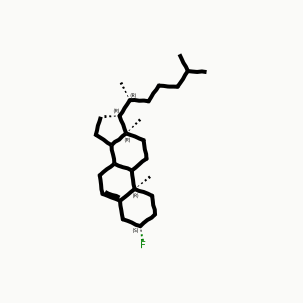 CC(C)CCC[C@@H](C)[C@H]1CCC2C3CC=C4C[C@@H](F)CC[C@]4(C)C3CC[C@@]21C